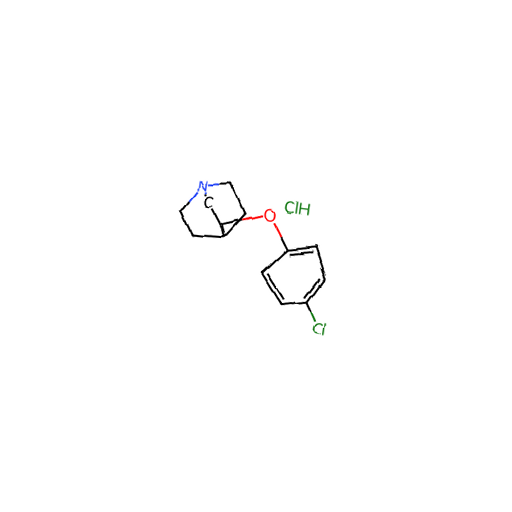 Cl.Clc1ccc(OC2CN3CCC2CC3)cc1